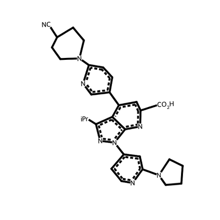 CC(C)c1nn(-c2ccnc(N3CCCC3)c2)c2nc(C(=O)O)cc(-c3ccc(N4CCC(C#N)CC4)nc3)c12